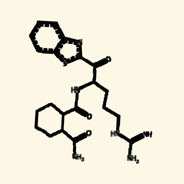 N=C(N)NCCCC(NC(=O)C1CCCCC1C(N)=O)C(=O)c1nc2ccccc2s1